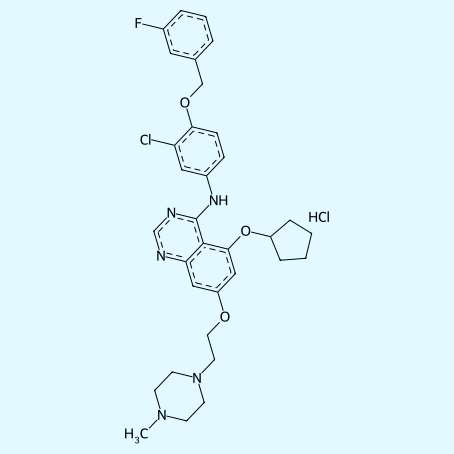 CN1CCN(CCOc2cc(OC3CCCC3)c3c(Nc4ccc(OCc5cccc(F)c5)c(Cl)c4)ncnc3c2)CC1.Cl